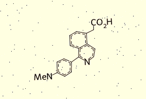 CNc1ccc(-c2nccc3c(CC(=O)O)cccc23)cc1